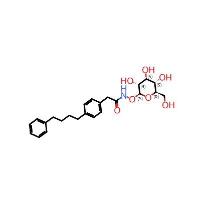 O=C(Cc1ccc(CCCCc2ccccc2)cc1)NO[C@@H]1O[C@H](CO)[C@@H](O)[C@H](O)[C@H]1O